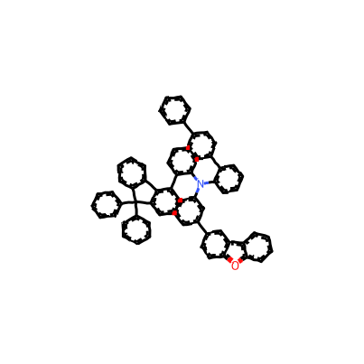 c1ccc(-c2ccc(-c3ccccc3N(c3cccc(-c4ccc5oc6ccccc6c5c4)c3)c3ccccc3-c3cccc4c3-c3ccccc3C4(c3ccccc3)c3ccccc3)cc2)cc1